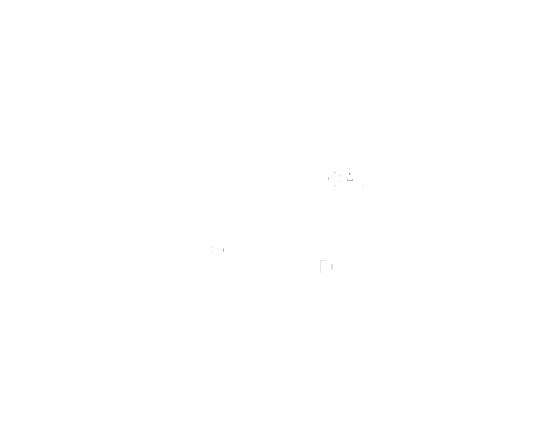 CCC(OC(C)=O)C1CCCO1